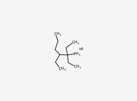 CCCC(CC)C(P)(CC)CC.I